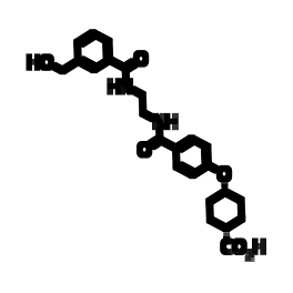 O=C(NCCNC(=O)c1cccc(CO)c1)c1ccc(O[C@H]2CC[C@@H](C(=O)O)CC2)cc1